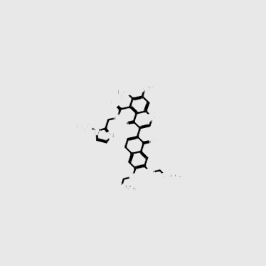 COCOc1cc2c(cc1OCOC)C(=O)C(c1coc3cc(C)c(C)c(C(=O)OCc4nccn4C)c3c1=O)=CC2